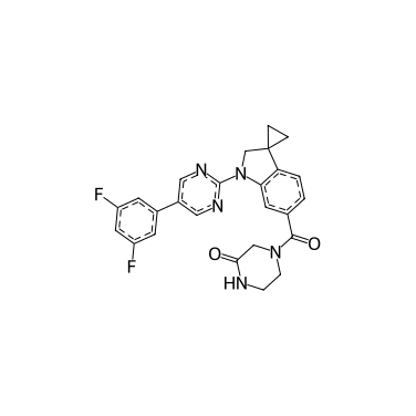 O=C1CN(C(=O)c2ccc3c(c2)N(c2ncc(-c4cc(F)cc(F)c4)cn2)CC32CC2)CCN1